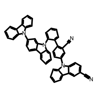 N#Cc1ccc2c(c1)c1ccccc1n2-c1ccc(-c2ccccc2-n2c3ccccc3c3ccc(-n4c5ccccc5c5ccccc54)cc32)c(C#N)c1